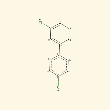 ClC1=CC[CH]C(c2ccc(Cl)cc2)=C1